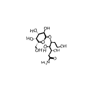 NC(=O)C[C@@H](O)[C@@H](O)[C@H](CCO)O[C@H]1O[C@H](CO)[C@H](O)[C@H](O)[C@H]1O